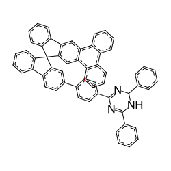 c1ccc(C2=NC(c3ccc(-c4ccc5c(c4)C4(c6ccccc6-5)c5ccccc5-c5cc6c7ccccc7c7ccccc7c6cc54)cc3)=NC(c3ccccc3)N2)cc1